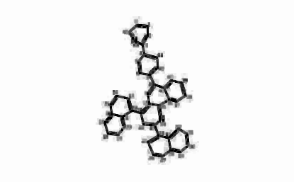 c1ccc(-c2ccc(-c3cc4c(-c5cccc6ccccc56)cc(-c5cccc6ccccc56)nc4c4ccccc34)cc2)nc1